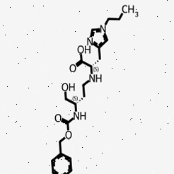 CCCn1cnc(C[C@H](NCC[C@@H](CO)NC(=O)OCc2ccccc2)C(=O)O)c1